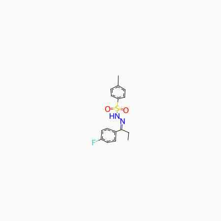 CCC(=NNS(=O)(=O)c1ccc(C)cc1)c1ccc(F)cc1